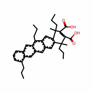 CCCc1cccc2cc3c(CCC)c4cc5c(cc4cc3cc12)C(C)(CCC)C(C(=O)O)=C(C(=O)O)C5(C)CCC